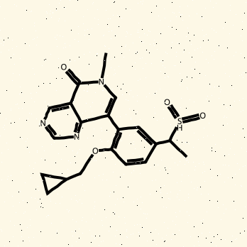 CC(c1ccc(OCC2CC2)c(-c2cn(C)c(=O)c3cncnc23)c1)[SH](=O)=O